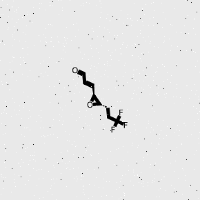 O=C/C=C/[C@@H]1O[C@H]1CCC(F)(F)F